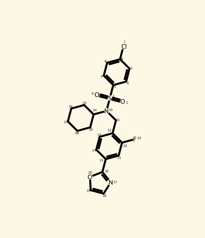 O=S(=O)(c1ccc(Cl)cc1)N(Cc1ccc(-c2ncco2)cc1F)C1CCCCC1